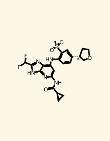 CS(=O)(=O)c1cc([C@@H]2CCOC2)ccc1Nc1cc(NC(=O)C2CC2)nc2[nH]c(C(F)F)nc12